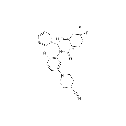 C[C@H]1CC(F)(F)CC[C@@H]1C(=O)N1Cc2cccnc2Nc2ccc(N3CCC(C#N)CC3)cc21